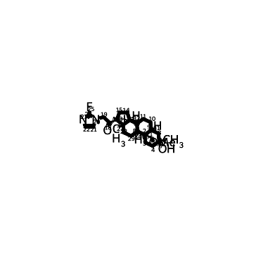 COC[C@]12CC[C@@](C)(O)C[C@@H]1CC[C@H]1[C@@H]3CC[C@H](C(=O)Cn4ccnc4F)[C@@]3(C)CC[C@@H]12